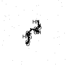 CNCCN(C)C(=O)C[C@@H]1C[C@@]2(CO2)[C@H](O)[C@@H](C=CC(C)=CC[C@@H]2O[C@H](C)[C@H](NC(=O)C=C[C@H](C)OC(C)=O)C[C@@H]2C)O1